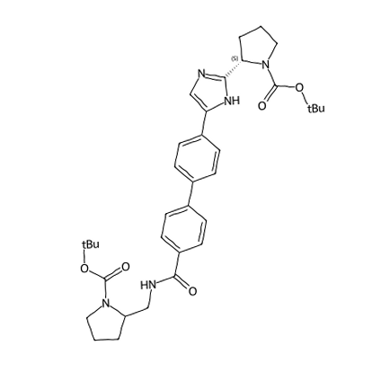 CC(C)(C)OC(=O)N1CCCC1CNC(=O)c1ccc(-c2ccc(-c3cnc([C@@H]4CCCN4C(=O)OC(C)(C)C)[nH]3)cc2)cc1